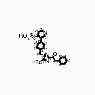 CCCCc1nc(C(=O)Cc2ccccc2)nn1Cc1ccc(-c2cnccc2OC(=O)O)cc1